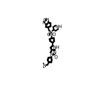 CN(C)Cc1ccc(-n2cc3cc(-c4ccc(S(=O)(=O)N(Cc5ccc6nonc6c5)C5CCNCC5)cc4)[nH]c3nc2=O)cc1